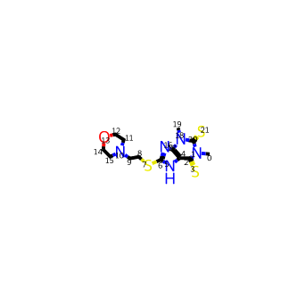 Cn1c(=S)c2[nH]c(SCCN3CCOCC3)nc2n(C)c1=S